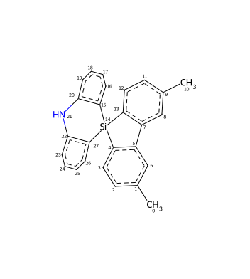 Cc1ccc2c(c1)-c1cc(C)ccc1[Si]21c2ccccc2Nc2ccccc21